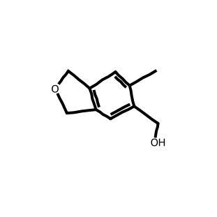 Cc1cc2c(cc1CO)COC2